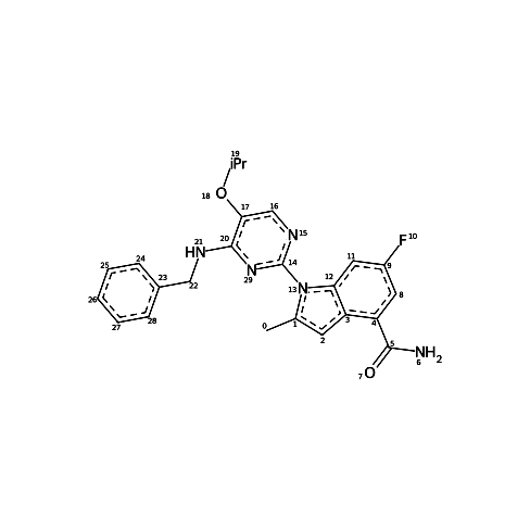 Cc1cc2c(C(N)=O)cc(F)cc2n1-c1ncc(OC(C)C)c(NCc2ccccc2)n1